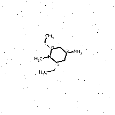 CC[C@@H]1C[C@@H](N)C[C@H](CC)N1C